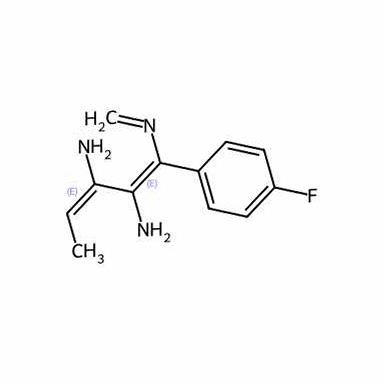 C=N/C(=C(N)\C(N)=C/C)c1ccc(F)cc1